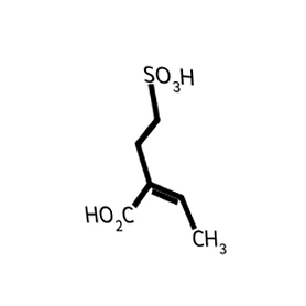 CC=C(CCS(=O)(=O)O)C(=O)O